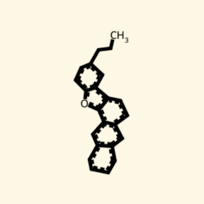 CCCc1ccc2oc3c4cc5ccccc5cc4ccc3c2c1